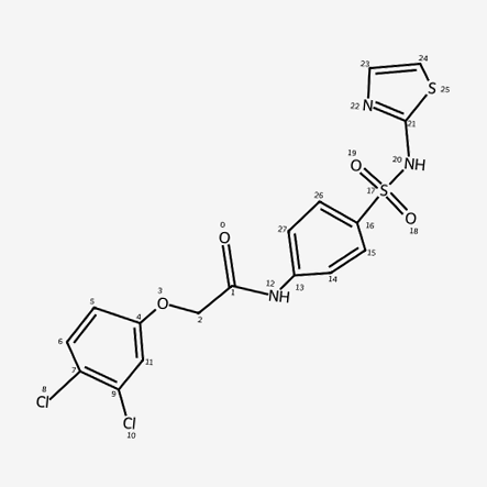 O=C(COc1ccc(Cl)c(Cl)c1)Nc1ccc(S(=O)(=O)Nc2nccs2)cc1